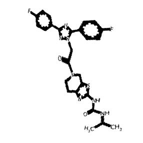 CC(C)NC(=O)Nc1nc2c(s1)CN(C(=O)Cn1nc(-c3ccc(F)cc3)nc1-c1ccc(F)cc1)CC2